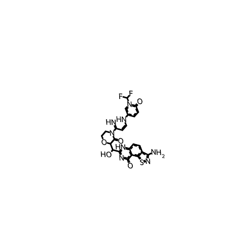 N=C(/C=C\Nc1ccc(=O)n(C(F)F)c1)N1CCOC(C(O)c2nc(=O)c3c(ccc4c(N)nsc43)[nH]2)C1=O